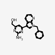 Nc1nc(CO)cc(-c2cn(Cc3ccccc3)c3ncccc23)n1